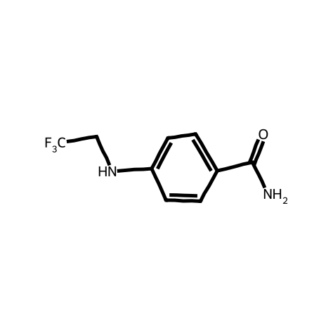 NC(=O)c1ccc(NCC(F)(F)F)cc1